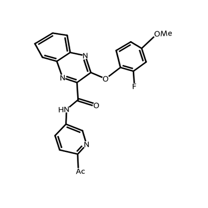 COc1ccc(Oc2nc3ccccc3nc2C(=O)Nc2ccc(C(C)=O)nc2)c(F)c1